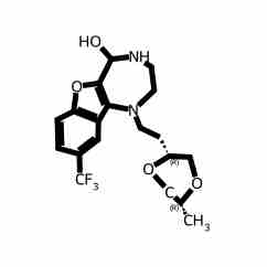 C[C@@H]1CO[C@H](CCN2CCNC(O)c3oc4ccc(C(F)(F)F)cc4c32)CO1